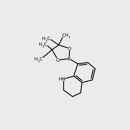 CC1(C)OB(c2cccc3c2NCCC3)OC1(C)C